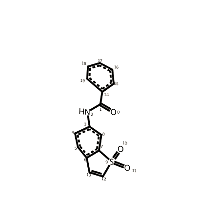 O=C(Nc1ccc2c(c1)S(=O)(=O)C=C2)c1ccccc1